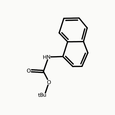 CC(C)(C)OC(=O)Nc1cccc2ccccc12